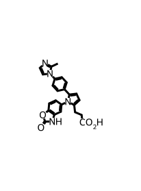 Cc1nccn1-c1ccc(-c2ccc(CCC(=O)O)n2-c2ccc3oc(=O)[nH]c3c2)cc1